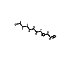 CCCCCCCCOCC[O]